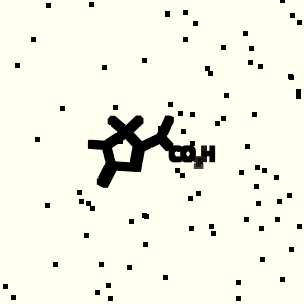 C=C1C=C(C(C)C(=O)O)C(C)(C)C1C